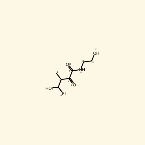 CCC(O)C(C)C(=O)C(=O)NCCO